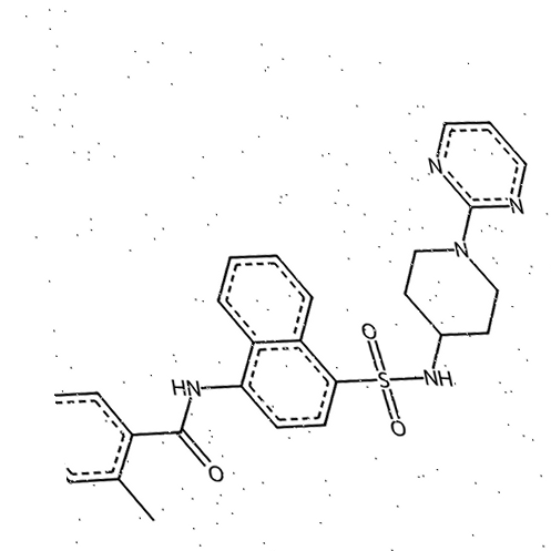 Cc1ccccc1C(=O)Nc1ccc(S(=O)(=O)NC2CCN(c3ncccn3)CC2)c2ccccc12